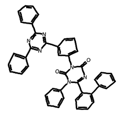 O=c1nc(-c2ccccc2-c2ccccc2)n(-c2ccccc2)c(=O)n1-c1cccc(-c2nc(-c3ccccc3)nc(-c3ccccc3)n2)c1